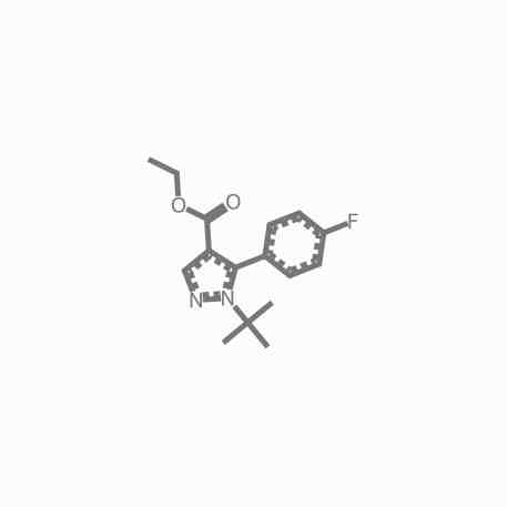 CCOC(=O)c1cnn(C(C)(C)C)c1-c1ccc(F)cc1